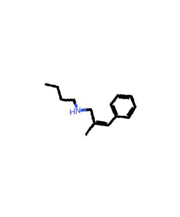 CCCCNCC(C)=Cc1ccccc1